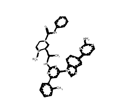 Cc1ccccc1-c1cc(-n2cnc3cc(-c4ccnc(N)n4)ccc32)nc(NC(C)C2CN(C(=O)Nc3ccccc3)CCN2C)n1